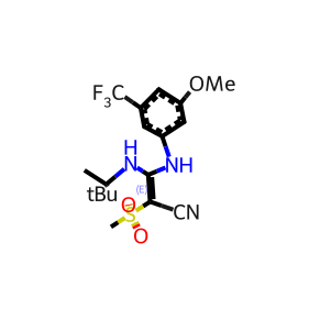 COc1cc(N/C(NC(C)C(C)(C)C)=C(\C#N)S(C)(=O)=O)cc(C(F)(F)F)c1